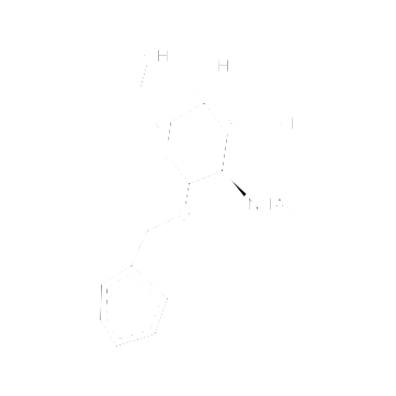 CC(=O)N[C@H]1C(OCc2ccccc2)O[C@H](CO)[C@H](O)[C@@H]1O